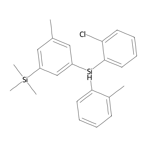 Cc1cc([SiH](c2ccccc2C)c2ccccc2Cl)cc([Si](C)(C)C)c1